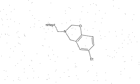 CCCCCCCCN1COc2ccc(CC)cc2C1